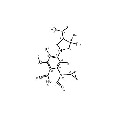 COc1c(F)c(N2CC(C(C)N)C(F)(F)C2)c(C)c2c1c(=O)[nH]c(=O)n2C1CC1